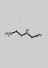 C[C](C)CNCCN